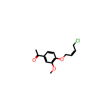 COc1cc(C(C)=O)ccc1OC/C=C\CCl